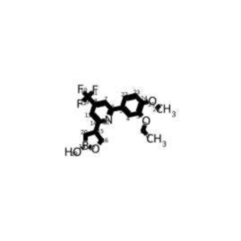 CCOc1cc(-c2cc(C(F)(F)F)cc(C3COB(O)C3)n2)ccc1OC